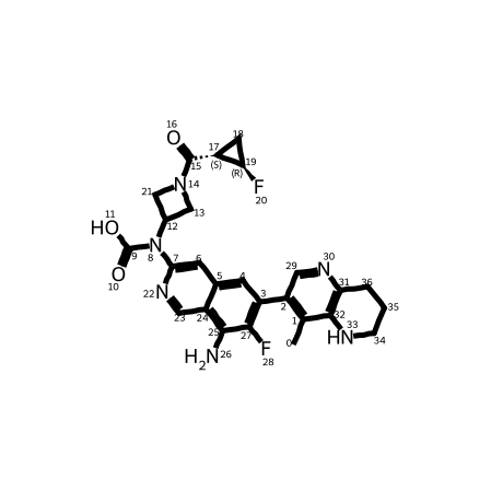 Cc1c(-c2cc3cc(N(C(=O)O)C4CN(C(=O)[C@@H]5C[C@H]5F)C4)ncc3c(N)c2F)cnc2c1NCCC2